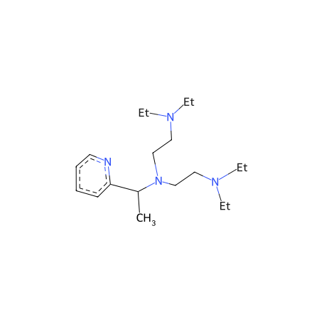 CCN(CC)CCN(CCN(CC)CC)C(C)c1ccccn1